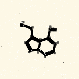 CSc1nccn2ccc(CBr)c12